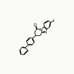 O=C1CC(c2ccc(-c3ccccc3)cc2)Cc2nc3cc(I)ccc3n21